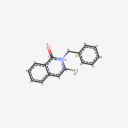 O=c1c2ccccc2cc(Cl)n1Cc1ccccc1